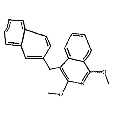 COc1nc(OC)c2ccccc2c1Cc1ccc2ccccc2c1